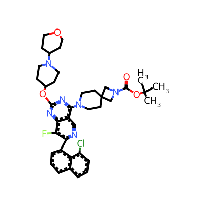 CC(C)(C)OC(=O)N1CC2(CCN(c3nc(OC4CCN(C5CCOCC5)CC4)nc4c(F)c(-c5cccc6cccc(Cl)c56)ncc34)CC2)C1